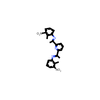 C/C(=N\c1cccc([N+](=O)[O-])c1C)c1cccc(/C(C)=N/c2cccc([N+](=O)[O-])c2C)n1